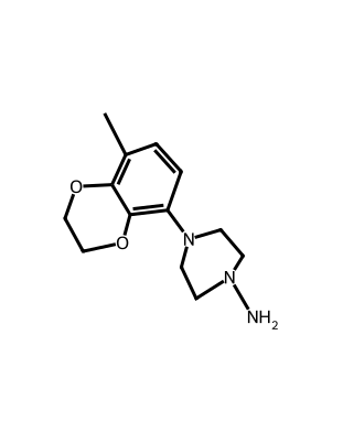 Cc1ccc(N2CCN(N)CC2)c2c1OCCO2